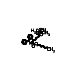 CCCCCCCOC(=O)C(CCCCB1OC(C)(C)C(C)(C)O1)N=C(c1ccccc1)c1ccccc1